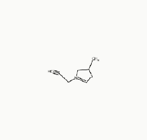 C#CC[N+]1=CSC(C)C1